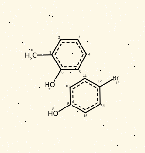 Cc1ccccc1O.Oc1ccc(Br)cc1